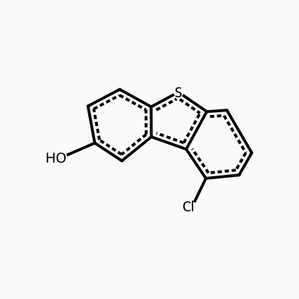 Oc1ccc2sc3cccc(Cl)c3c2c1